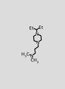 CCC(CC)N1CCN(CCCN(C)C)CC1